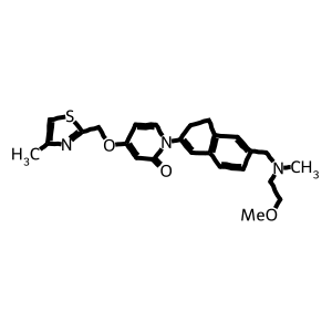 COCCN(C)Cc1ccc2c(c1)CCC(n1ccc(OCc3nc(C)cs3)cc1=O)=C2